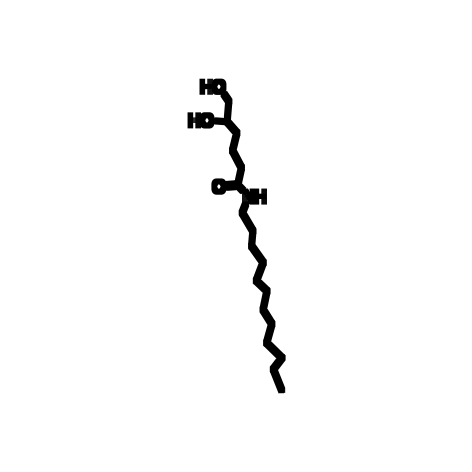 CCCCCCCCCCCCNC(=O)CCCC(O)CO